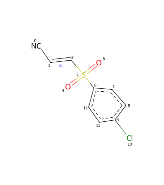 N#C/C=C/S(=O)(=O)c1ccc(Cl)cc1